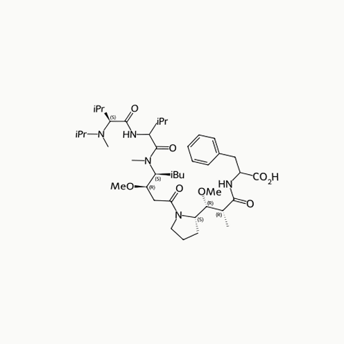 CCC(C)[C@@H]([C@@H](CC(=O)N1CCC[C@H]1[C@H](OC)[C@@H](C)C(=O)NC(Cc1ccccc1)C(=O)O)OC)N(C)C(=O)C(NC(=O)[C@H](C(C)C)N(C)C(C)C)C(C)C